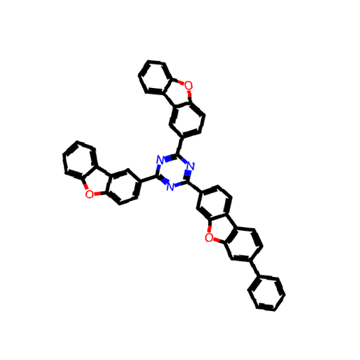 c1ccc(-c2ccc3c(c2)oc2cc(-c4nc(-c5ccc6oc7ccccc7c6c5)nc(-c5ccc6oc7ccccc7c6c5)n4)ccc23)cc1